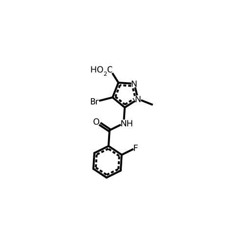 Cn1nc(C(=O)O)c(Br)c1NC(=O)c1ccccc1F